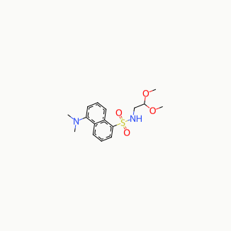 COC(CNS(=O)(=O)c1cccc2c(N(C)C)cccc12)OC